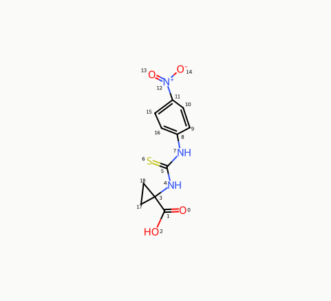 O=C(O)C1(NC(=S)Nc2ccc([N+](=O)[O-])cc2)CC1